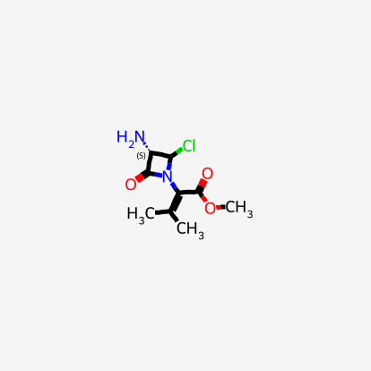 COC(=O)C(=C(C)C)N1C(=O)[C@H](N)C1Cl